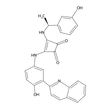 C[C@H](Nc1c(Nc2ccc(O)c(-c3ccc4ccccc4n3)c2)c(=O)c1=O)c1cccc(O)c1